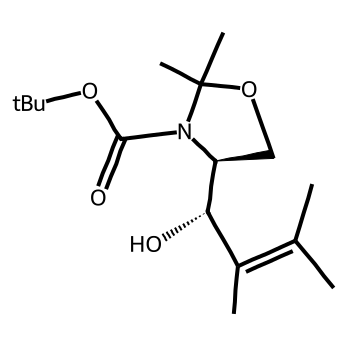 CC(C)=C(C)[C@H](O)[C@@H]1COC(C)(C)N1C(=O)OC(C)(C)C